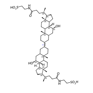 C[C@H](CCC(=O)NCCS(=O)(=O)O)[C@H]1CC[C@H]2[C@H]3C(CC[C@]12C)[C@@]1(C)CC/C(=C2/CC[C@@]4(C)C(C2)C[C@H](O)[C@@H]2C4CC[C@@]4(C)C2CC[C@@H]4[C@H](C)CCC(=O)NCCS(=O)(=O)O)CC1C[C@@H]3O